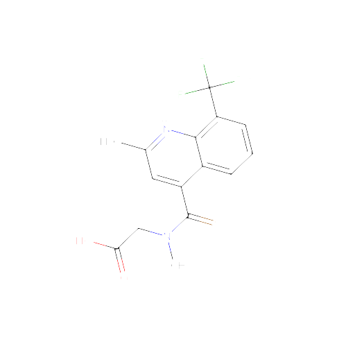 Cc1cc(C(=S)N(C)CC(=O)O)c2cccc(C(F)(F)F)c2n1